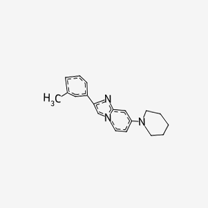 Cc1cccc(-c2cn3ccc(N4CCCCC4)cc3n2)c1